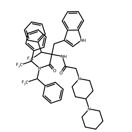 O=C(CN1CCC(N2CCCCC2)CC1)NC(Cc1c[nH]c2ccccc12)(C(=O)N(C(c1ccccc1)C(F)(F)F)C(c1ccccc1)C(F)(F)F)C(c1ccccc1)C(F)(F)F